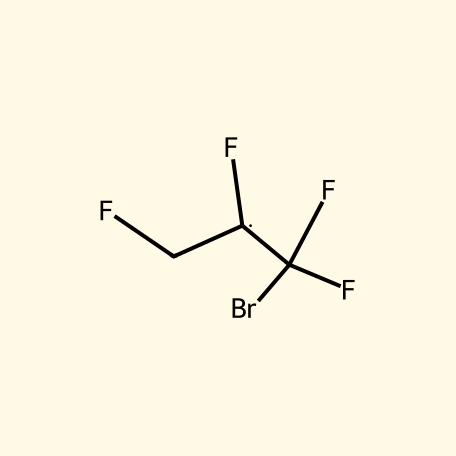 FC[C](F)C(F)(F)Br